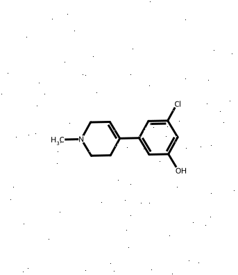 CN1CC=C(c2cc(O)cc(Cl)c2)CC1